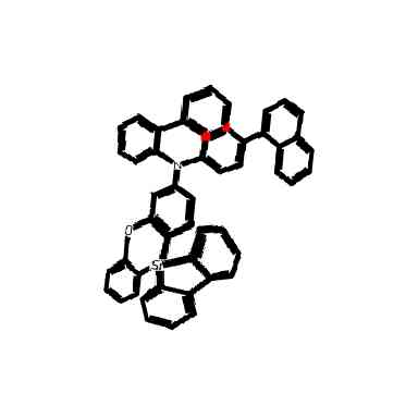 c1ccc(-c2ccccc2N(c2ccc(-c3cccc4ccccc34)cc2)c2ccc3c(c2)Oc2ccccc2[Si]32c3ccccc3-c3ccccc32)cc1